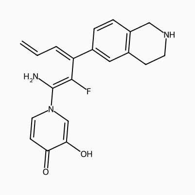 C=C/C=C(\C(F)=C(/N)n1ccc(=O)c(O)c1)c1ccc2c(c1)CCNC2